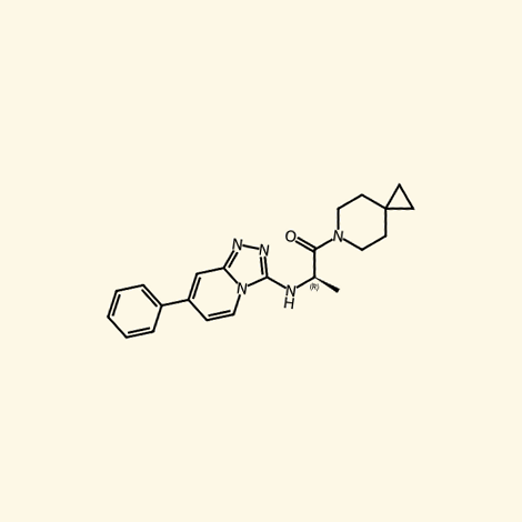 C[C@@H](Nc1nnc2cc(-c3ccccc3)ccn12)C(=O)N1CCC2(CC1)CC2